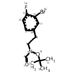 CC(C)(C)ON(C=O)CCc1ccc(F)c(Br)c1